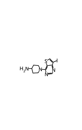 NC1CCN(c2ncnc3c(I)csc23)CC1